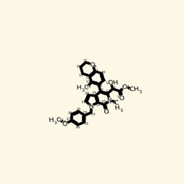 COC(=O)C(O)c1c(-c2ccc3c(c2C)CCCO3)c2ccn(Cc3ccc(OC)cc3)c2c(=O)n1C